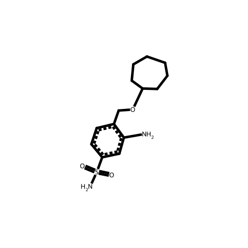 Nc1cc(S(N)(=O)=O)ccc1COC1CCCCCC1